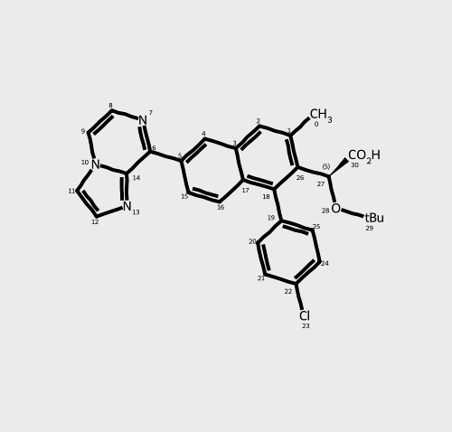 Cc1cc2cc(-c3nccn4ccnc34)ccc2c(-c2ccc(Cl)cc2)c1[C@H](OC(C)(C)C)C(=O)O